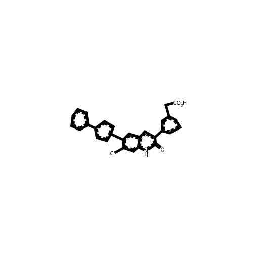 O=C(O)Cc1cccc(-c2cc3cc(-c4ccc(-c5ccccc5)cc4)c(Cl)cc3[nH]c2=O)c1